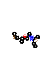 c1ccc2cc(-c3nc(-n4c5ccccc5c5c6oc7cc(-c8ccc9sc%10ccccc%10c9c8)c8ccccc8c7c6ccc54)nc4c3sc3ccccc34)ccc2c1